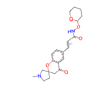 CN1CCC2(CC(=O)c3cc(/C=C/C(=O)NOC4CCCCO4)ccc3O2)C1